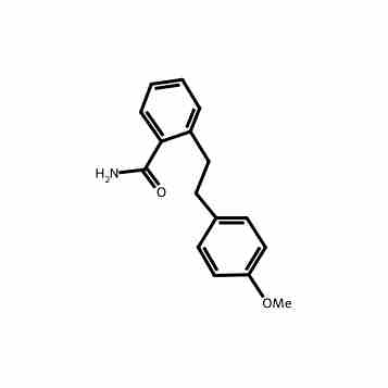 COc1ccc(CCc2ccccc2C(N)=O)cc1